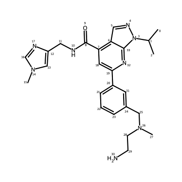 CC(C)n1ncc2c(C(=O)NCc3cn(C)cn3)cc(-c3cccc(CN(C)CCN)c3)nc21